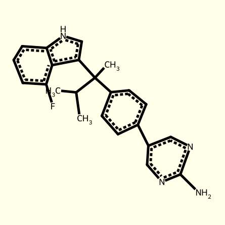 CC(C)C(C)(c1ccc(-c2cnc(N)nc2)cc1)c1c[nH]c2cccc(F)c12